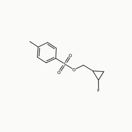 Cc1ccc(S(=O)(=O)OCC2CC2F)cc1